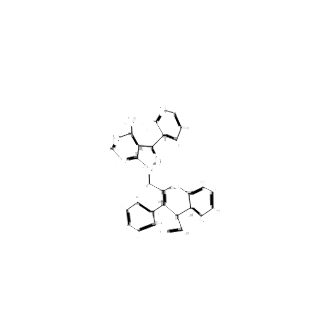 Nc1ncnc2c1c(-c1cccnc1)nn2CC1=C(c2ccccc2)C(C=O)c2ccccc2O1